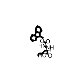 CC=CC[C@](C)(NNC(=O)OCC1c2ccccc2-c2ccccc21)C(=O)O